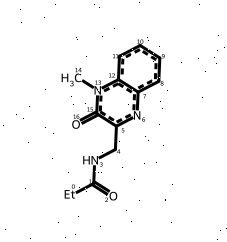 CCC(=O)NCc1nc2ccccc2n(C)c1=O